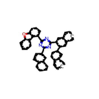 c1ccc2cc(-c3nc(-c4cc5ccccc5cc4-c4ccc5ccccc5c4)nc(-c4cccc5oc6ccccc6c45)n3)ccc2c1